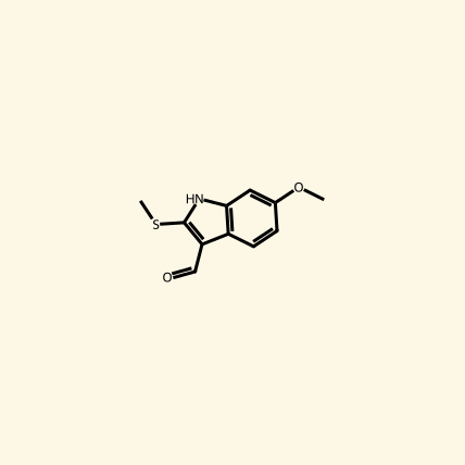 COc1ccc2c(C=O)c(SC)[nH]c2c1